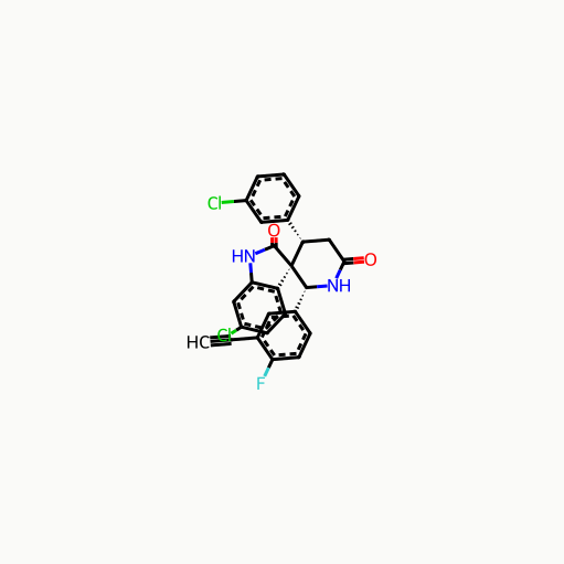 C#Cc1cc([C@H]2NC(=O)C[C@@H](c3cccc(Cl)c3)[C@]23C(=O)Nc2cc(Cl)ccc23)ccc1F